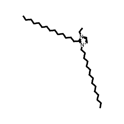 CCCCCCCCCCCCCCC[n+]1ccn(CC)c1CCCCCCCCCCCCCC